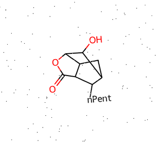 CCCCCC1C2CC3C(OC(=O)C13)C2O